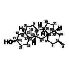 C=C1CC[C@@]23CC[C@H]4[C@@H](CC[C@H]5C[C@H](O)CC[C@@]54C)[C@@H]2CC[C@@H]3C1